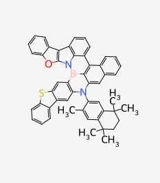 Cc1cc2c(cc1N1c3cc4c(cc3B3c5c1cc1ccccc1c5-c1cccc5c6c7ccccc7oc6n3c15)sc1ccccc14)C(C)(C)CCC2(C)C